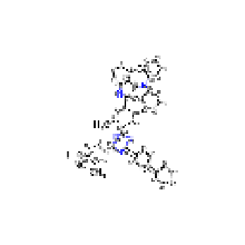 CC1CC=Cc2nc(C3=CC(C)C(c4nc(C5=CCC(C)(C#N)C(C)C5)nc(-c5ccc(-c6ccccc6)cc5)n4)C=C3)c3c4ccccc4n(-c4ccccc4)c3c21